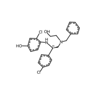 OCCN(Cc1ccccc1)C[C@H](Nc1ccc(O)cc1Cl)c1ccc(Cl)cc1